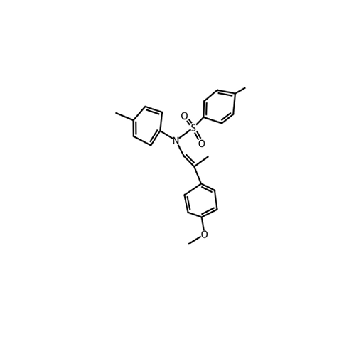 COc1ccc(C(C)=CN(c2ccc(C)cc2)S(=O)(=O)c2ccc(C)cc2)cc1